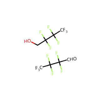 O=CC(F)(F)C(F)(F)C(F)(F)F.OCC(F)(F)C(F)(F)C(F)(F)F